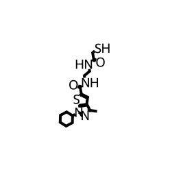 Cc1nn(C2CCCCC2)c2sc(C(=O)NCCNC(=O)CS)cc12